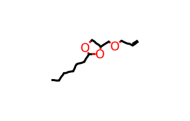 C=CCOCC1COC(CCCCCC)O1